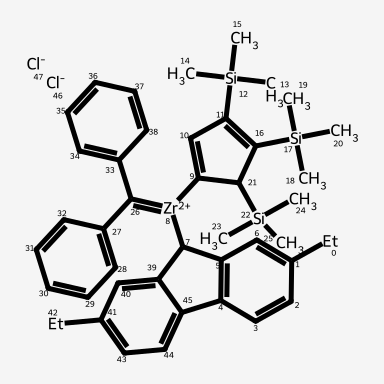 CCc1ccc2c(c1)[CH]([Zr+2]([C]1=CC([Si](C)(C)C)=C([Si](C)(C)C)C1[Si](C)(C)C)=[C](c1ccccc1)c1ccccc1)c1cc(CC)ccc1-2.[Cl-].[Cl-]